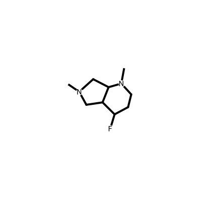 CN1CC2C(F)CCN(C)C2C1